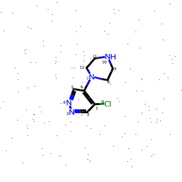 Clc1cnncc1N1CCNCC1